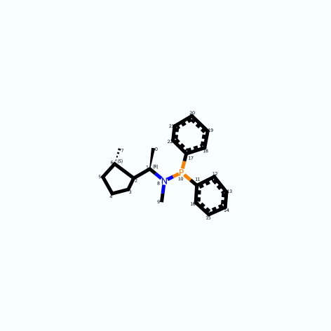 C[C@H](C1CCC[C@@H]1C)N(C)P(c1ccccc1)c1ccccc1